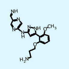 COc1cccc(OCCCN)c1-c1cc(Nc2cnc(C=N)cn2)n[nH]1